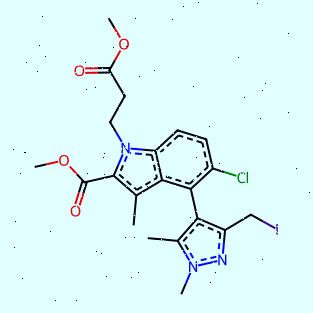 COC(=O)CCn1c(C(=O)OC)c(C)c2c(-c3c(CI)nn(C)c3C)c(Cl)ccc21